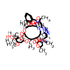 CC[C@H]1OC(=O)[C@H](C)[C@@H](O[C@H]2C[C@@](C)(OC)[C@@H](O)[C@H](C)O2)[C@H](C)[C@@H](O[C@@H]2O[C@H](C)C[C@H](N(C)CCc3cn(CCc4nc(-c5ccccc5)oc4C)nn3)[C@H]2O)[C@](C)(O)C[C@@H](C)CN(C)[C@H](C)[C@@H](O)[C@]1(C)O